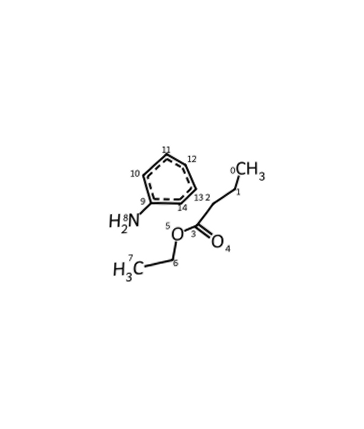 CCCC(=O)OCC.Nc1ccccc1